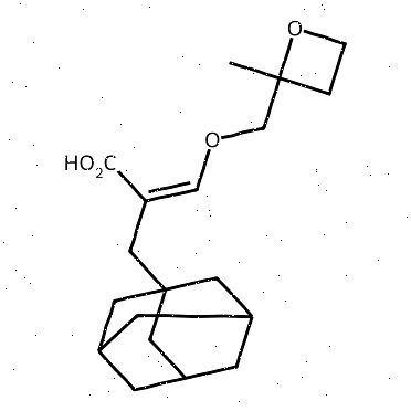 CC1(COC=C(CC23CC4CC(CC(C4)C2)C3)C(=O)O)CCO1